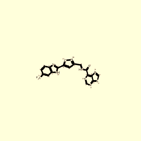 O=C(NCc1cc(-c2nc3ccc(C(F)(F)F)cc3[nH]2)on1)c1ncnc2scnc12